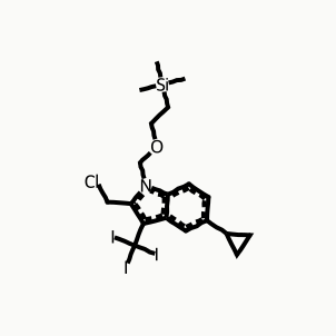 C[Si](C)(C)CCOCn1c(CCl)c(C(I)(I)I)c2cc(C3CC3)ccc21